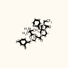 CC(C)(N)C(=O)N[C@H](COCc1ccc(F)cc1F)C(=O)N1CCN2C(=O)N(CC(F)(F)F)C(=O)[C@@]2(Cc2ccccn2)C1